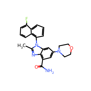 Cc1nc2c(C(N)=O)cc(N3CCOCC3)cc2n1-c1cccc2c(F)cccc12